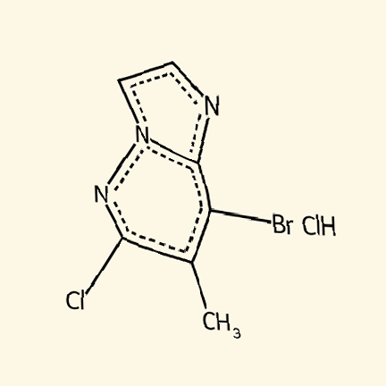 Cc1c(Cl)nn2ccnc2c1Br.Cl